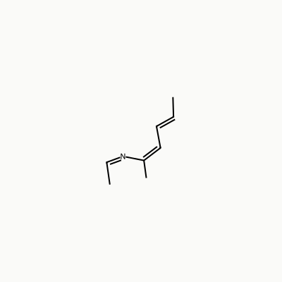 C\C=N/C(C)=C\C=C\C